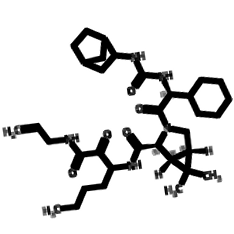 C=CCNC(=O)C(=O)C(CCCC)NC(=O)[C@@H]1[C@@H]2[C@H](CN1C(=O)[C@@H](NC(=O)NC1CC3CCC1C3)C1CCCCC1)C2(C)C